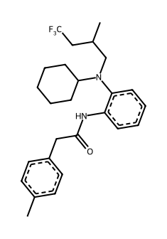 Cc1ccc(CC(=O)Nc2ccccc2N(CC(C)CC(F)(F)F)C2CCCCC2)cc1